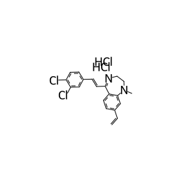 C=Cc1ccc2c(c1)N(C)CCN=C2C=Cc1ccc(Cl)c(Cl)c1.Cl.Cl